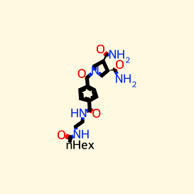 CCCCCCC(=O)NCCNC(=O)c1ccc(C(=O)N2C[C@@H](C(N)=O)[C@H](C(N)=O)C2)cc1